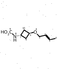 C/C=C/CO[C@H]1C[C@H](NC(=O)O)C1